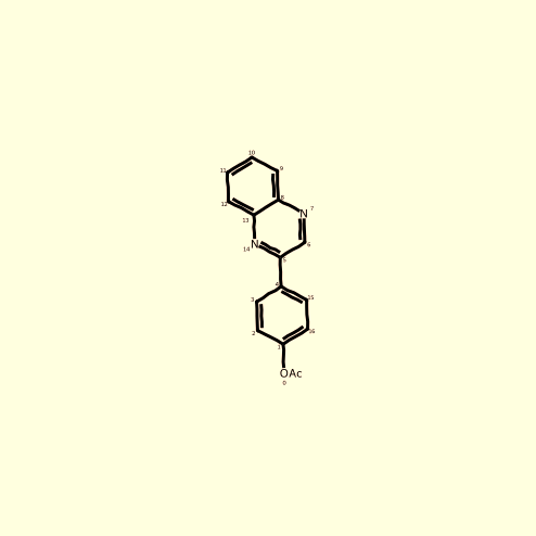 CC(=O)Oc1ccc(-c2cnc3ccccc3n2)cc1